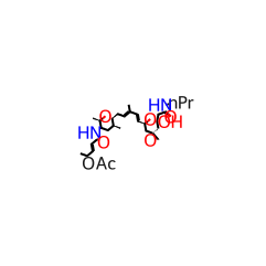 CCCNC(=O)CC1(O)C[C@@]2(CO2)C[C@@H](C=CC(C)=CC[C@@H]2O[C@H](C)[C@H](NC(=O)C=CC(C)OC(C)=O)C[C@@H]2C)O1